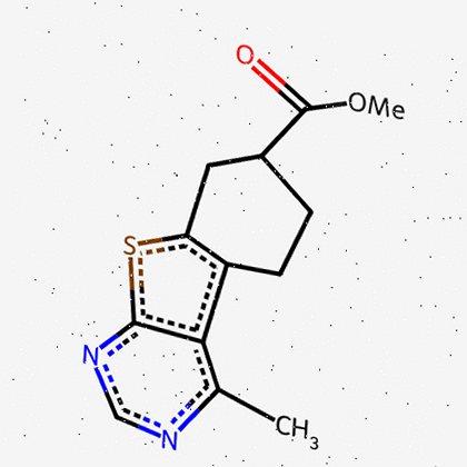 COC(=O)C1CCc2c(sc3ncnc(C)c23)C1